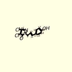 O=c1c(Cl)c(Cl)cnn1CC=Cc1ccc(O)cc1